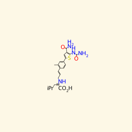 Cc1cc(-c2cc(C(N)=O)c(NC(N)=O)s2)ccc1C=CCN[C@@H](CC(C)C)C(=O)O